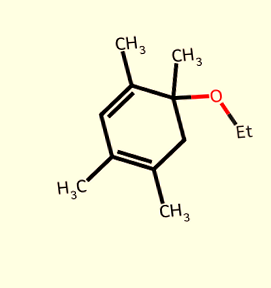 CCOC1(C)CC(C)=C(C)C=C1C